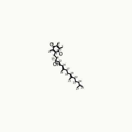 CC1=C(C)C(=O)C(CC[C@](C)(O)CC/C=C(\C)CC/C=C(\C)CCCC(C)C)=C(C)C1=O